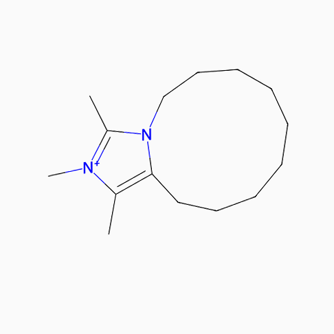 Cc1c2n(c(C)[n+]1C)CCCCCCCCC2